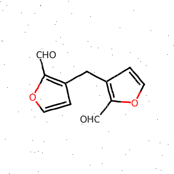 O=Cc1occc1Cc1ccoc1C=O